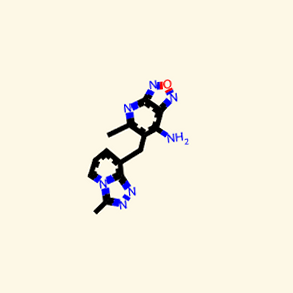 Cc1nc2nonc2c(N)c1Cc1cccn2c(C)nnc12